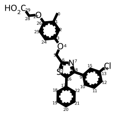 Cc1cc(OCc2nc(-c3cccc(Cl)c3)c(-c3ccccc3)s2)ccc1OCC(=O)O